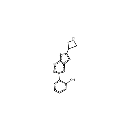 Oc1ccccc1-c1cc2cc(C3CNC3)sc2nn1